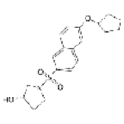 O=S(=O)(c1ccc2cc(OC3CCCC3)ccc2c1)N1CC[C@H](O)C1